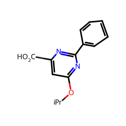 CC(C)Oc1cc(C(=O)O)nc(-c2ccccc2)n1